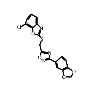 Clc1cccc2nc(SCc3nc(-c4ccc5c(c4)OCO5)no3)oc12